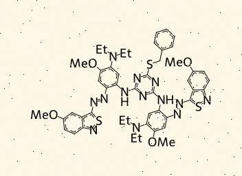 CCN(CC)c1cc(Nc2nc(Nc3cc(N(CC)CC)c(OC)cc3/N=N/c3snc4ccc(OC)cc34)nc(SCc3ccccc3)n2)c(/N=N/c2snc3ccc(OC)cc23)cc1OC